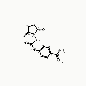 C=C(N)c1ccc(NC(=O)ON2C(=O)CCC2=O)cc1